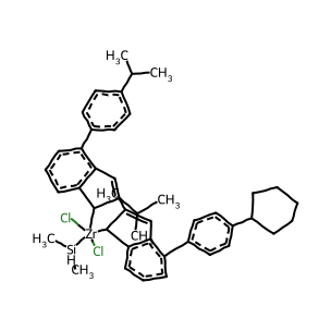 CC1=Cc2c(-c3ccc(C4CCCCC4)cc3)cccc2[CH]1[Zr]([Cl])([Cl])([CH]1C(C(C)C)=Cc2c(-c3ccc(C(C)C)cc3)cccc21)[SiH](C)C